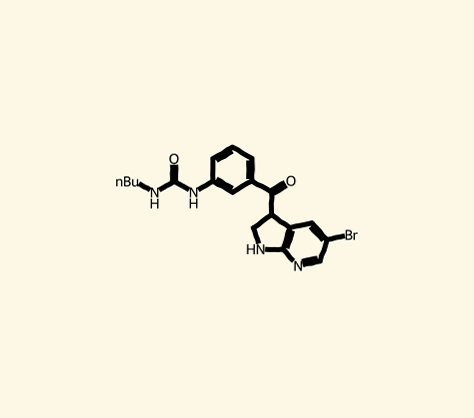 CCCCNC(=O)Nc1cccc(C(=O)C2CNc3ncc(Br)cc32)c1